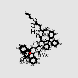 C=CCOC(=O)CC(O)C(NC(=O)C(CSC(c1ccccc1)(c1ccccc1)c1ccccc1)NC(=O)[C@@H](Cc1cn(C(=O)OC(C)(C)C)c2ccccc12)N(C(=O)OC)C1c2ccccc2-c2ccccc21)C(C)C